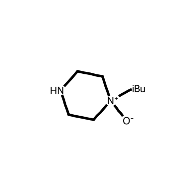 CCC(C)[N+]1([O-])CCNCC1